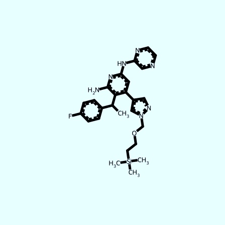 CC(c1ccc(F)cc1)c1c(-c2cnn(COCC[Si](C)(C)C)c2)cc(Nc2cnccn2)nc1N